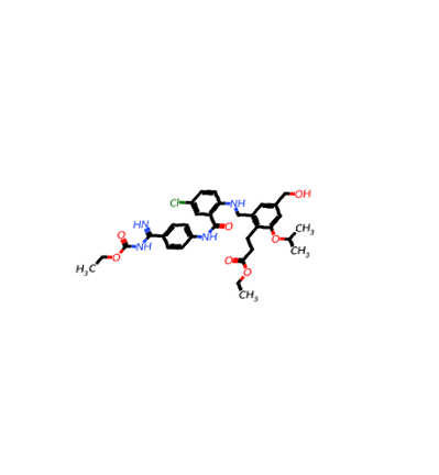 CCOC(=O)CCc1c(CNc2ccc(Cl)cc2C(=O)Nc2ccc(C(=N)NC(=O)OCC)cc2)cc(CO)cc1OC(C)C